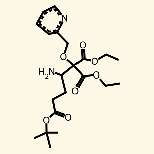 CCOC(=O)C(OCc1ccccn1)(C(=O)OCC)C(N)CCC(=O)OC(C)(C)C